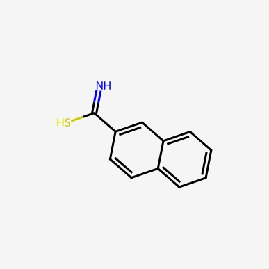 N=C(S)c1ccc2ccccc2c1